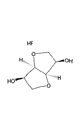 F.O[C@@H]1CO[C@H]2[C@@H]1OC[C@H]2O